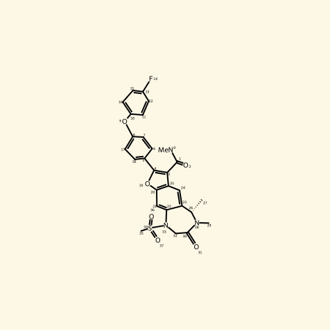 CNC(=O)c1c(-c2ccc(Oc3ccc(F)cc3)cc2)oc2cc3c(cc12)[C@H](C)N(C)C(=O)CN3S(C)(=O)=O